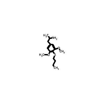 CCCCSc1c(OC)cc(CC(C)N)cc1OC